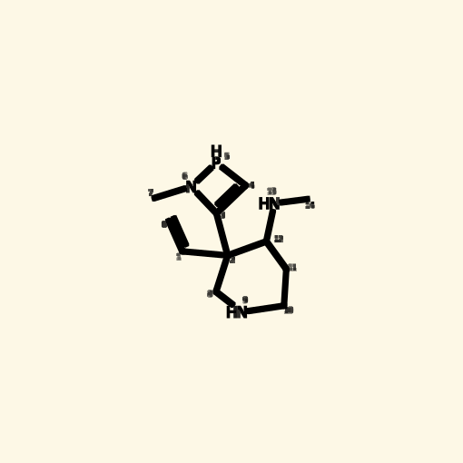 C=CC1(c2c[pH]n2C)CNCCC1NC